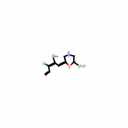 C=C/C(Cl)=C(\C=C1/CNCC(C(=O)O)O1)OC